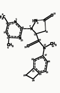 Cc1cc(C(F)(F)F)nc(N2NC(=O)CC2C(=O)N(C)c2ccc3c(c2)CC3)n1